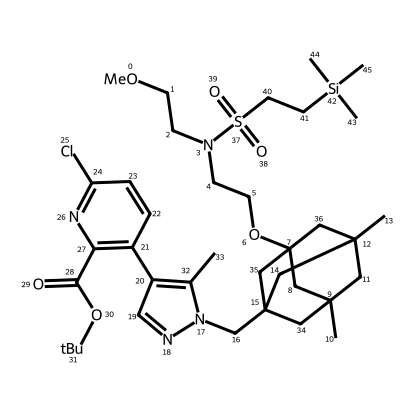 COCCN(CCOC12CC3(C)CC(C)(CC(Cn4ncc(-c5ccc(Cl)nc5C(=O)OC(C)(C)C)c4C)(C3)C1)C2)S(=O)(=O)CC[Si](C)(C)C